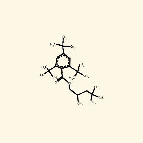 CC(CPC(=O)c1c(C(C)(C)C)cc(C(C)(C)C)cc1C(C)(C)C)CC(C)(C)C